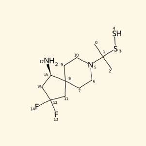 CC(C)(SS)N1CCC2(CC1)CC(F)(F)C[C@H]2N